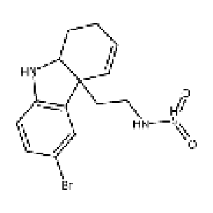 O=[SH](=O)NCCC12C=CCCC1Nc1ccc(Br)cc12